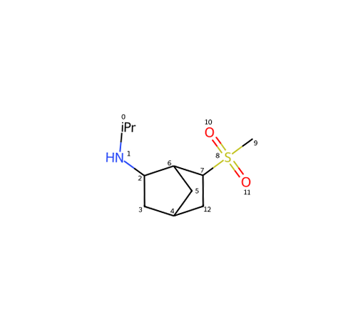 CC(C)NC1CC2CC1C(S(C)(=O)=O)C2